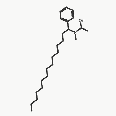 CCCCCCCCCCCCCCC(c1ccccc1)N(C)C(C)O